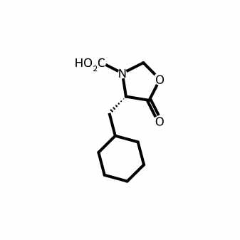 O=C1OCN(C(=O)O)[C@H]1CC1CCCCC1